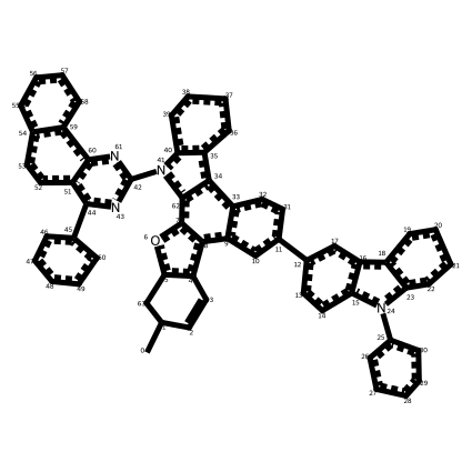 CC1C=Cc2c(oc3c2c2cc(-c4ccc5c(c4)c4ccccc4n5-c4ccccc4)ccc2c2c4ccccc4n(-c4nc(-c5ccccc5)c5ccc6ccccc6c5n4)c32)C1